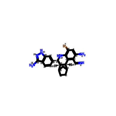 N=Cc1c(N)cc(Br)c2c1[C@H]1C3CCC(C3)[C@H]1[C@H](c1ccc3c(N)n[nH]c3c1)N2